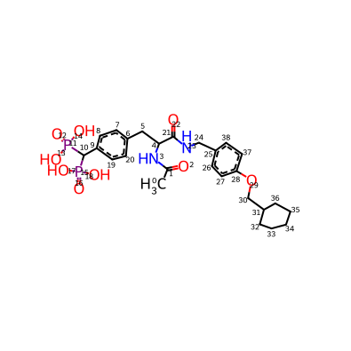 CC(=O)NC(Cc1ccc(C(P(=O)(O)O)P(=O)(O)O)cc1)C(=O)NCc1ccc(OCC2CCCCC2)cc1